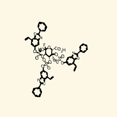 C=Cc1cc(OS(=O)(=O)O[C@@H]2[C@@H](OS(=O)(=O)Oc3cc(C=C)c4oc(-c5ccccc5)nc4c3)[C@](Br)(OS(=O)(=O)Oc3cc(C=C)c4oc(-c5ccccc5)nc4c3)[C@@H](C(=O)O)OC2(O)F)cc2nc(-c3ccccc3)oc12